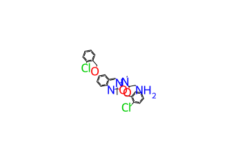 CN(C(=O)CN)N1C=c2cc(OCc3ccccc3Cl)ccc2=NC1(C)OCc1ccccc1Cl